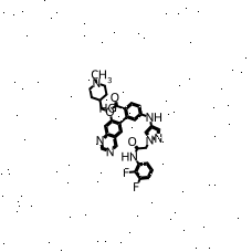 CN1CCC(COc2cc3ncncc3cc2-c2cc(Nc3cnn(CC(=O)Nc4cccc(F)c4F)c3)ccc2C(=O)O)CC1